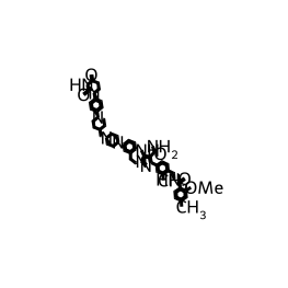 COc1cc(C)ccc1C(=O)NCc1ccc(-c2nn3c(c2C(N)=O)Nc2ccc(N4CCN(CC5CCN(c6ccc(N7CCC(=O)NC7=O)cc6)CC5)CC4)cc2CC3)cc1C